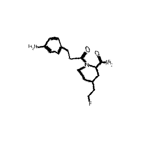 NC(=O)C1CC(CCF)CCN1C(=O)[CH]Cc1ccc(N)cc1